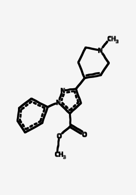 COC(=O)c1cc(C2=CCN(C)CC2)nn1-c1ccccc1